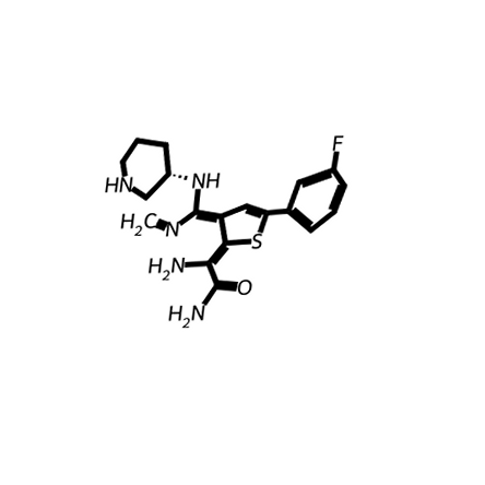 C=N/C(N[C@H]1CCCNC1)=c1/cc(-c2cccc(F)c2)s/c1=C(/N)C(N)=O